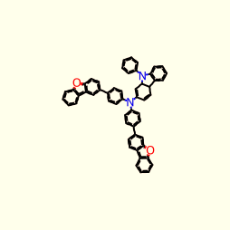 C1=CC2c3ccccc3N(c3ccccc3)C2C=C1N(c1ccc(-c2ccc3c(c2)oc2ccccc23)cc1)c1ccc(-c2ccc3oc4ccccc4c3c2)cc1